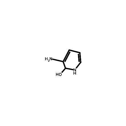 NC1=CC=CNC1O